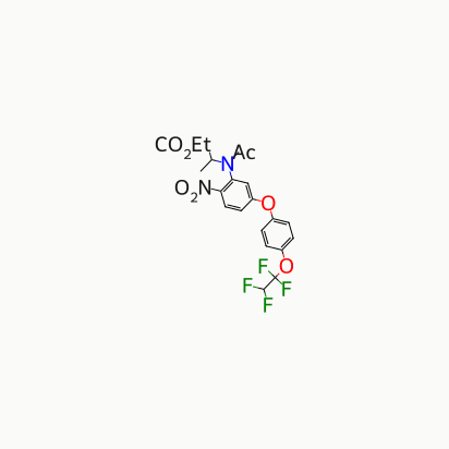 CCOC(=O)C(C)N(C(C)=O)c1cc(Oc2ccc(OC(F)(F)C(F)F)cc2)ccc1[N+](=O)[O-]